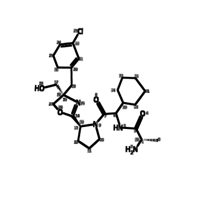 C[C@H](N)C(=O)NC(C(=O)N1CCC[C@H]1C1=N[C@](CO)(CC2=CC(Cl)=CCC2)CO1)C1CCCCC1